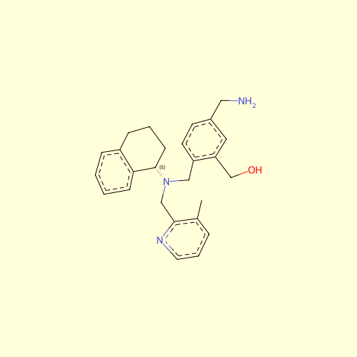 Cc1cccnc1CN(Cc1ccc(CN)cc1CO)[C@H]1CCCc2ccccc21